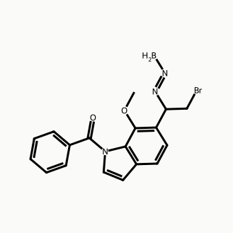 BN=NC(CBr)c1ccc2ccn(C(=O)c3ccccc3)c2c1OC